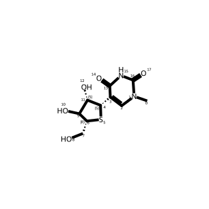 Cn1cc([C@@H]2S[C@H](CO)C(O)[C@@H]2O)c(=O)[nH]c1=O